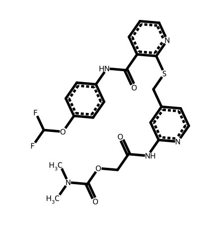 CN(C)C(=O)OCC(=O)Nc1cc(CSc2ncccc2C(=O)Nc2ccc(OC(F)F)cc2)ccn1